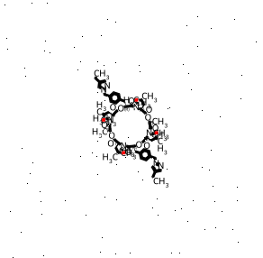 CCc1cnn(Cc2ccc(C[C@H]3OC(=O)[C@H](CC(C)C)N(C)C(=O)[C@@H](C)OC(=O)[C@H](CC(C)C)N(C)C(=O)[C@@H](Cc4ccc(Cn5cc(CC)cn5)cc4)OC(=O)[C@H](CC(C)C)N(C)C(=O)[C@@H](C)OC(=O)[C@H](CC(C)C)N(C)C3=O)cc2)c1